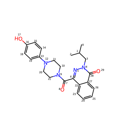 CC(C)Cn1nc(C(=O)N2CCN(c3ccc(O)cc3)CC2)c2ccccc2c1=O